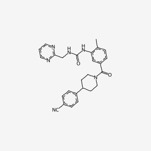 Cc1ccc(C(=O)N2CCC(c3ccc(C#N)cc3)CC2)cc1NC(=O)NCc1ncccn1